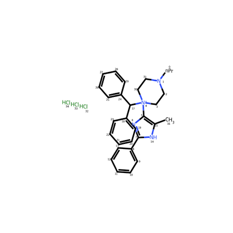 CCCN1CC[N+](c2nc(-c3ccccc3)[nH]c2C)(C(c2ccccc2)c2ccccc2)CC1.Cl.Cl.Cl